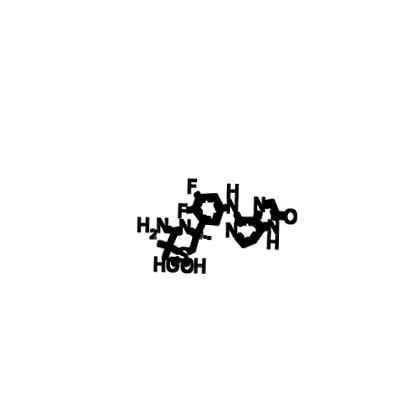 CC1(C)C(N)=N[C@@](C)(c2cc(Nc3nccc4[nH]c(=O)cnc34)cc(F)c2F)CS1(O)O